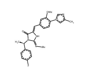 CCCC/N=C1\N/C(=C\c2ccc(-n3cnc(C)c3)c(OC)c2)C(=O)N1[C@H](C)c1ccc(F)cc1